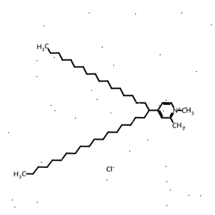 CCCCCCCCCCCCCCCCCCC(CCCCCCCCCCCCCCCCC)c1cc[n+](C)c(C)c1.[Cl-]